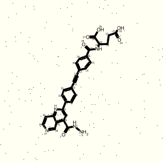 NNC(=O)c1cc(-c2ccc(C#Cc3ccc(C(=O)NC(CCC(=O)O)C(=O)O)cc3)cc2)nc2ccncc12